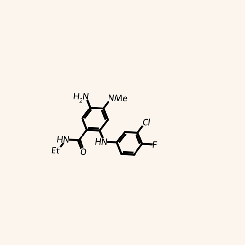 CCNC(=O)c1cc(N)c(NC)cc1Nc1ccc(F)c(Cl)c1